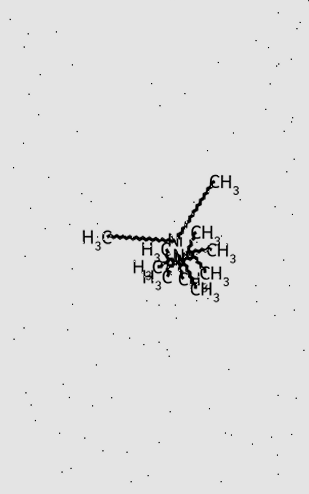 CCCCCCCCC1=C(c2cc(CCCCCC)c(CCCCCC)c(CCCCCC)c2)[N+](=[N-])C(c2cc(CCC)c(CCC)c(CCC)c2)=C1CCCC.CCCCCCCCCCCCCCCCCCCC[CH2][Ni][CH2]CCCCCCCCCCCCCCCCCCCC